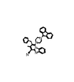 Cc1c(Cc2ccccc2)c(N2CCN(C3c4ccccc4-c4ccccc43)CC2)n2c(nc3ccccc32)c1C#N